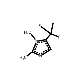 Cc1ncc(C(F)(F)F)n1C